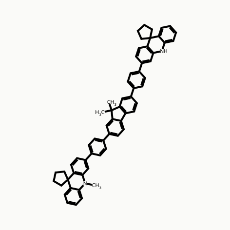 CN1c2ccccc2C2(CCCC2)c2ccc(-c3ccc(-c4ccc5c(c4)C(C)(C)c4cc(-c6ccc(-c7ccc8c(c7)Nc7ccccc7C87CCCC7)cc6)ccc4-5)cc3)cc21